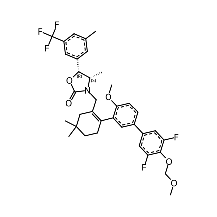 COCOc1c(F)cc(-c2ccc(OC)c(C3=C(CN4C(=O)O[C@H](c5cc(C)cc(C(F)(F)F)c5)[C@@H]4C)CC(C)(C)CC3)c2)cc1F